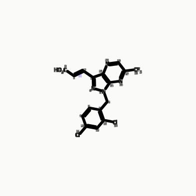 O=C(O)/C=C/c1nn(Cc2ccc(Cl)cc2Cl)c2nc(C(F)(F)F)cnc12